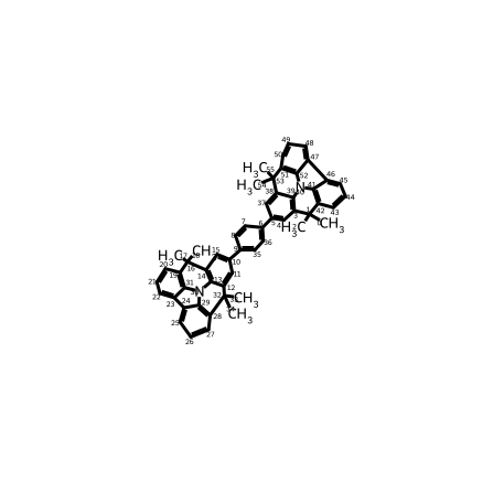 CC1(C)c2cc(-c3ccc(-c4cc5c6c(c4)C(C)(C)c4cccc7c8cccc(c8n-6c47)C5(C)C)cc3)cc3c2-n2c4c1cccc4c1cccc(c12)C3(C)C